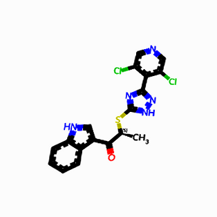 C[C@H](Sc1nc(-c2c(Cl)cncc2Cl)n[nH]1)C(=O)c1c[nH]c2ccccc12